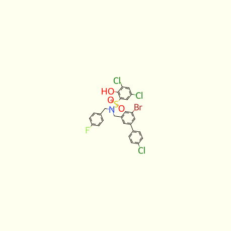 O=S(=O)(c1cc(Cl)cc(Cl)c1O)N(Cc1ccc(F)cc1)Cc1cc(Br)cc(-c2ccc(Cl)cc2)c1